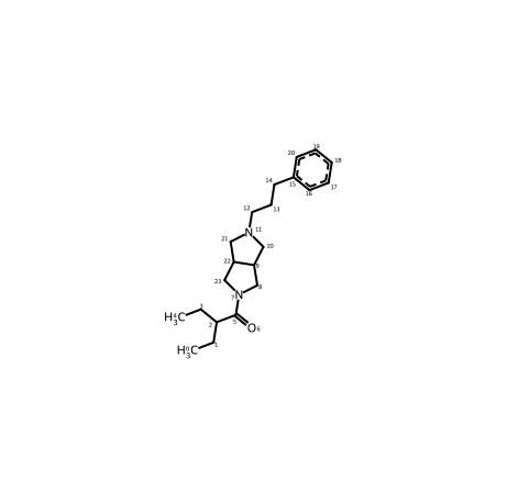 CCC(CC)C(=O)N1CC2CN(CCCc3ccccc3)CC2C1